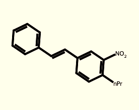 CCCc1ccc(/C=C/c2ccccc2)cc1[N+](=O)[O-]